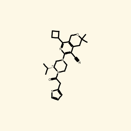 CC(C)[C@@H]1CN(c2nc(C3CCC3)c3c(c2C#N)CC(C)(C)OC3)CCN1C(=O)Cc1cccs1